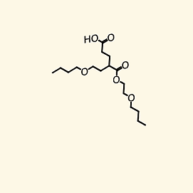 CCCCOCCOC(=O)C(CCOCCCC)CCC(=O)O